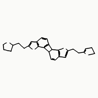 C1=CC2c3c(ccc4cc(CCC5CCCO5)sc34)C2c2sc(CCC3=CCCO3)cc21